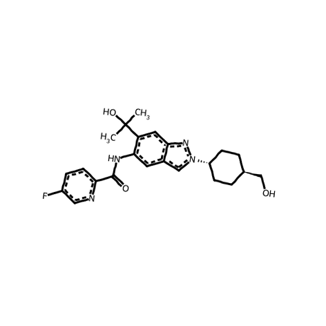 CC(C)(O)c1cc2nn([C@H]3CC[C@H](CO)CC3)cc2cc1NC(=O)c1ccc(F)cn1